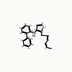 C/C=C\C=C/Cc1sccc1Nc1ccccc1-c1ccccc1